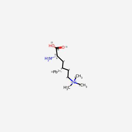 C[N+](C)(C)CCCC[C@H](N)C(=O)O.[Pb+2]